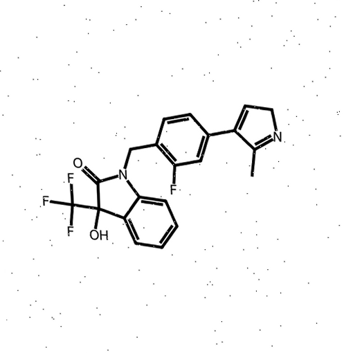 CC1=NCC=C1c1ccc(CN2C(=O)C(O)(C(F)(F)F)c3ccccc32)c(F)c1